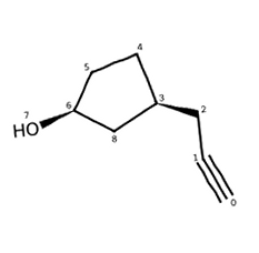 C#CC[C@@H]1CC[C@H](O)C1